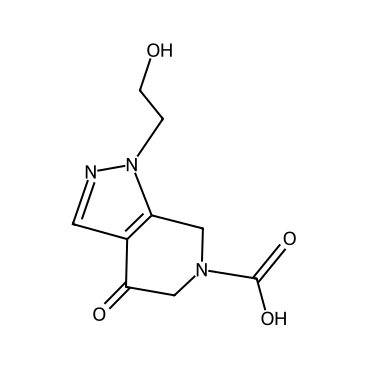 O=C1CN(C(=O)O)Cc2c1cnn2CCO